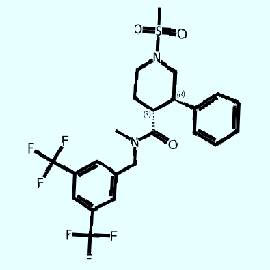 CN(Cc1cc(C(F)(F)F)cc(C(F)(F)F)c1)C(=O)[C@@H]1CCN(S(C)(=O)=O)C[C@H]1c1ccccc1